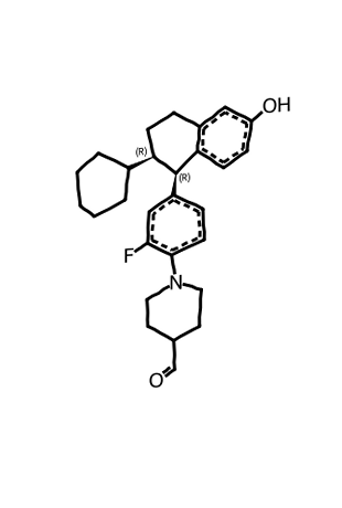 O=CC1CCN(c2ccc([C@@H]3c4ccc(O)cc4CC[C@@H]3C3CCCCC3)cc2F)CC1